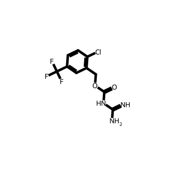 N=C(N)NC(=O)OCc1cc(C(F)(F)F)ccc1Cl